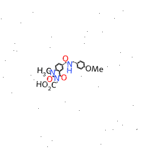 COc1ccc(CNC(=O)c2ccc3c(c2)c(=O)n(CC(=O)O)c(=O)n3C)cc1